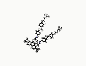 O=C(/C=C/c1ccc(OC(=O)c2ccc(OCCCC(F)(F)F)cc2)cc1)OCc1cc([N+](=O)[O-])ccc1-c1ccc([N+](=O)[O-])cc1COC(=O)/C=C/c1ccc(OC(=O)c2ccc(OCCCC(F)(F)F)cc2)cc1